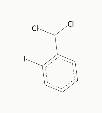 ClC(Cl)c1ccccc1I